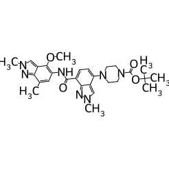 COc1c(NC(=O)c2ccc(N3CCN(C(=O)OC(C)(C)C)CC3)c3cn(C)nc23)cc(C)c2nn(C)cc12